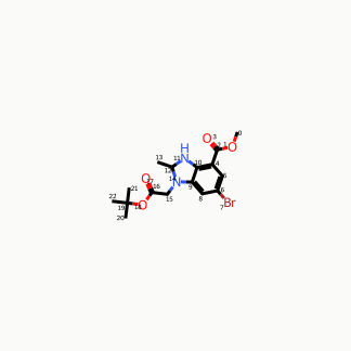 COC(=O)c1cc(Br)cc2c1NC(C)N2CC(=O)OC(C)(C)C